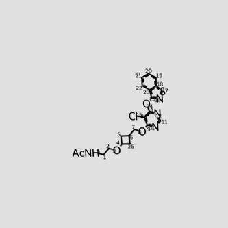 CC(=O)NCCOC1CC(COc2ncnc(Oc3nsc4ccccc34)c2Cl)C1